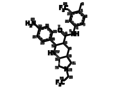 Cc1ccc(NC(=O)C2CC3CN(CC(F)(F)F)CC3NC2c2ccc(N)cc2)cc1C(F)(F)F